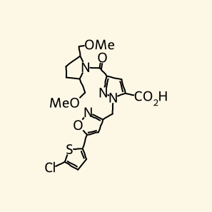 COCC1CCC(COC)N1C(=O)c1cc(C(=O)O)n(Cc2cc(-c3ccc(Cl)s3)on2)n1